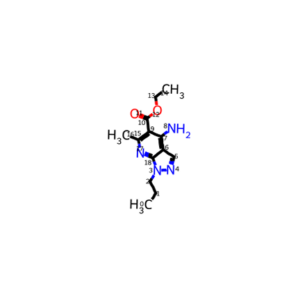 CCCn1ncc2c(N)c(C(=O)OCC)c(C)nc21